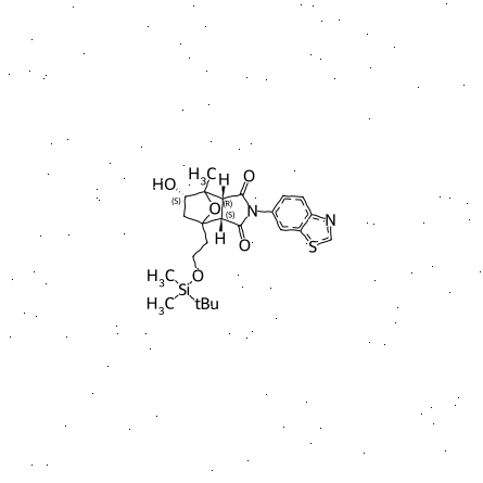 CC12OC(CCO[Si](C)(C)C(C)(C)C)(C[C@@H]1O)[C@H]1C(=O)N(c3ccc4ncsc4c3)C(=O)[C@H]12